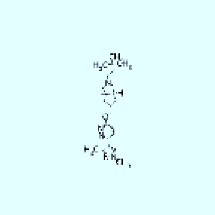 Cc1nn(C)cc1-c1ccc(OCC2C[C@@H]3CN(CCC(C)(C)C)C[C@@H]3C2)nn1